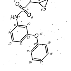 O=S(=O)(CC1CS1)Nc1cccc(Oc2ccccc2)c1